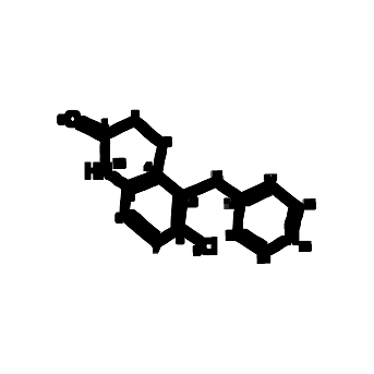 O=C1CCc2c(ccc(Cl)c2Cc2ccncc2)N1